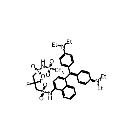 CCN(CC)c1ccc(C(=C2C=CC(=[N+](CC)CC)C=C2)c2ccc(NS(=O)(=O)CC(F)(F)CS(=O)(=O)NS(=O)(=O)C(F)(F)F)c3ccccc23)cc1